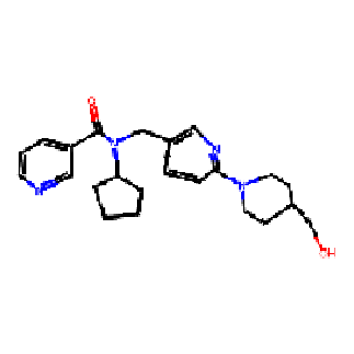 O=C(c1cccnc1)N(Cc1ccc(N2CCC(CO)CC2)nc1)C1CCCC1